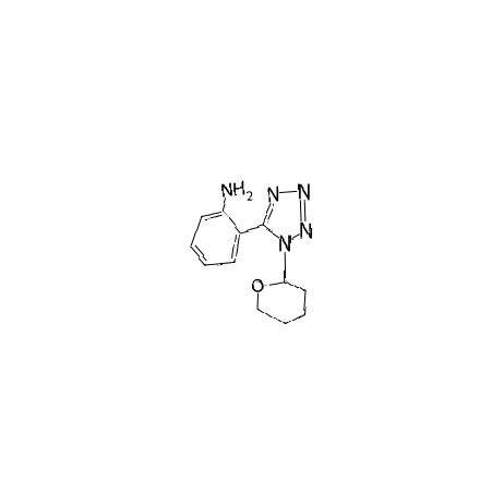 Nc1ccccc1-c1nnnn1C1CCCCO1